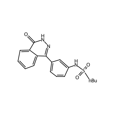 CCCCS(=O)(=O)Nc1cccc(-c2n[nH]c(=O)c3ccccc23)c1